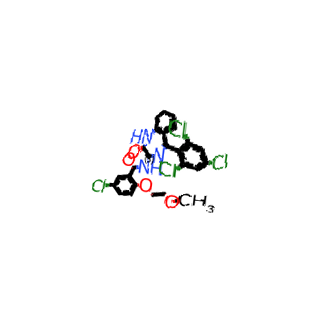 COCCOc1ccc(Cl)cc1C(=O)N[C@H]1N=C(c2c(Cl)cc(Cl)cc2Cl)c2ccccc2NC1=O